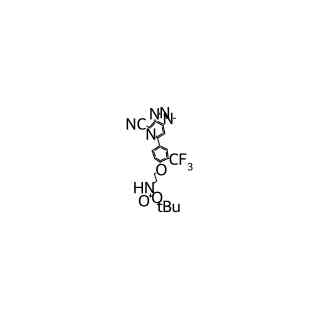 Cn1nnc2c(C#N)nc(-c3ccc(OCCNC(=O)OC(C)(C)C)c(C(F)(F)F)c3)cc21